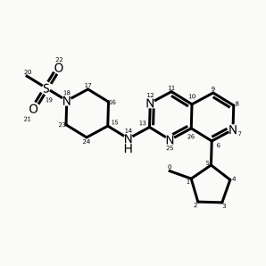 CC1CCCC1c1nccc2cnc(NC3CCN(S(C)(=O)=O)CC3)nc12